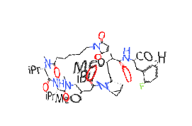 CC[C@H](C)[C@@H]([C@@H](CC(=O)N1C2CC2C[C@H]1[C@H](OC)[C@@H](C)C(=O)N[C@@H](Cc1ccccc1F)C(=O)O)OC)N(C)C(=O)[C@@H](NC(=O)[C@H](C(C)C)N(C)C(=O)CCCCCN1C(=O)C=CC1=O)C(C)C